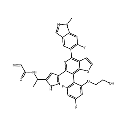 C=CC(=O)NC(C)c1cc(-c2nc(-c3cc4cnn(C)c4cc3F)c3ccsc3c2-c2c(F)cc(F)cc2OCCO)n[nH]1